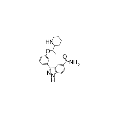 CC(Oc1cccc(-c2n[nH]c3ccc(C(N)=O)cc23)c1)C1CCCCN1